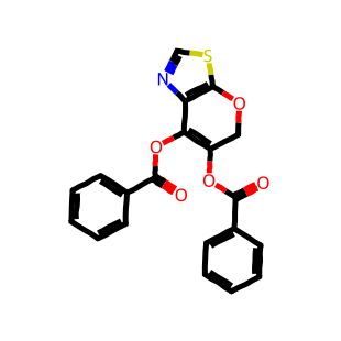 O=C(OC1=C(OC(=O)c2ccccc2)c2ncsc2OC1)c1ccccc1